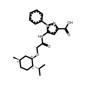 CC(C)[C@@H]1CC[C@@H](C)C[C@H]1OCC(=O)Nc1cc(C(=O)O)nn1-c1ccccc1